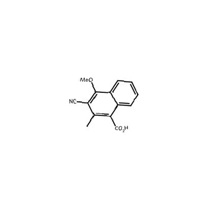 COc1c(C#N)c(C)c(C(=O)O)c2ccccc12